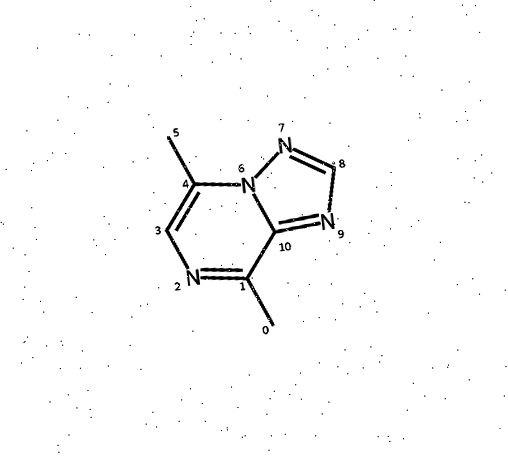 Cc1ncc(C)n2n[c]nc12